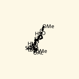 COCCOC(=O)N[C@@H]1CCCN(c2nc(C(=O)N[C@@H](CO[Si](C)(C)C(C)(C)C)C(=O)N[C@@H](COC(C)=O)C(=O)OC)cs2)C1